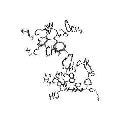 COC(=O)C[C@@H]1N=C(c2ccc(-c3ccc(C(=O)N[C@H](C(=O)N4C[C@H](O)C[C@H]4C(=O)N[C@@H](C)c4ccc(-c5scnc5C)cc4)C(C)(C)C)s3)cc2)c2c(sc(C)c2C)-n2c(C)nnc21